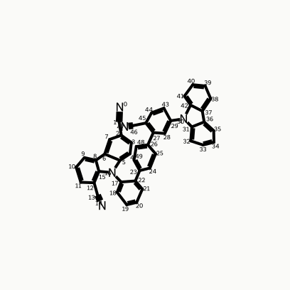 N#Cc1ccc2c(c1)c1cccc(C#N)c1n2-c1ccccc1-c1ccc(-c2cc(-n3c4ccccc4c4ccccc43)ccc2C#N)cc1